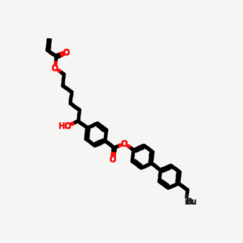 C=CC(=O)OCCCCCC(O)c1ccc(C(=O)Oc2ccc(-c3ccc(CC(C)CC)cc3)cc2)cc1